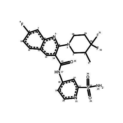 CC1CN(c2nc3cc(F)ccc3cc2C(=O)Nc2ccnc(S(N)(=O)=O)c2)CCC1(F)F